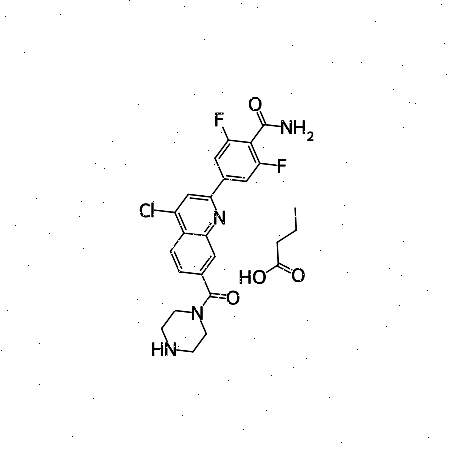 CCCC(=O)O.NC(=O)c1c(F)cc(-c2cc(Cl)c3ccc(C(=O)N4CCNCC4)cc3n2)cc1F